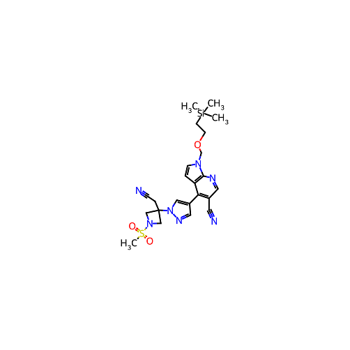 C[Si](C)(C)CCOCn1ccc2c(-c3cnn(C4(CC#N)CN(S(C)(=O)=O)C4)c3)c(C#N)cnc21